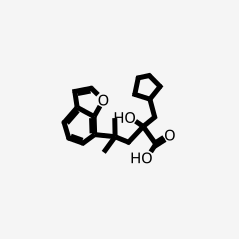 CC(C)(CC(O)(CC1CCCC1)C(=O)O)c1cccc2ccoc12